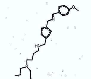 CCCN(CCC)CCCCNCc1ccc(CN=Cc2ccc(OC)cc2)cc1